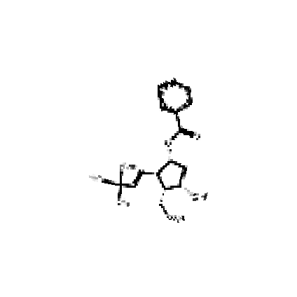 CCCCC[C@@](C)(O)C=C[C@@H]1[C@@H](CC(=O)O)[C@@H](O)C[C@H]1OC(=O)c1ccccc1